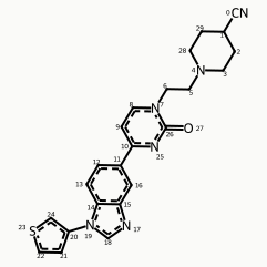 N#CC1CCN(CCn2ccc(-c3ccc4c(c3)ncn4-c3ccsc3)nc2=O)CC1